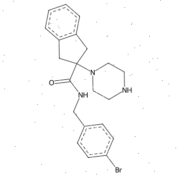 O=C(NCc1ccc(Br)cc1)C1(N2CCNCC2)Cc2ccccc2C1